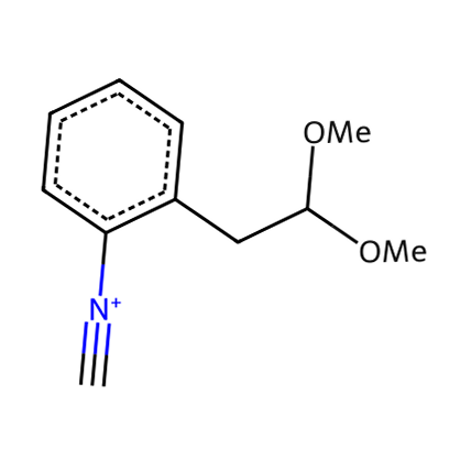 C#[N+]c1ccccc1CC(OC)OC